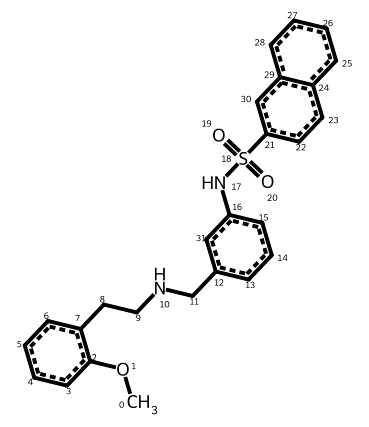 COc1ccccc1CCNCc1cccc(NS(=O)(=O)c2ccc3ccccc3c2)c1